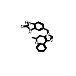 CC(O)Cc1c(-c2ccccc2)ncn1Cc1ccc2[nH]c(=O)[nH]c2c1